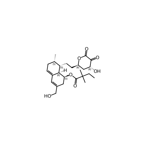 CCC(C)(C)C(=O)O[C@H]1CC(CO)=CC2=CC[C@H](C)[C@H](CC[C@@H]3C[C@@H](O)C(=O)C(=O)O3)[C@H]21